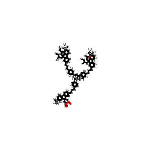 CCC(C)CC1(CC(C)CC)c2cc(CCCc3ccc(C4=CC(c5ccc(CCCc6ccc7c(c6)C(CC(C)CC)(CC(C)CC)c6cc([Si](C)(C)C)ccc6-7)cc5)=NN(c5ccc(CCCc6ccc7c(c6)C(CC(C)CC)(CC(C)CC)c6cc([Si](C)(C)C)ccc6-7)cc5)N4)cc3)ccc2-c2ccc([Si](C)(C)C)cc21